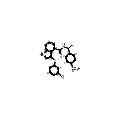 C[C@H](NC(=O)c1cccc2[nH]cc(Sc3cccc(Cl)c3)c12)c1ccc(C(=O)O)cc1